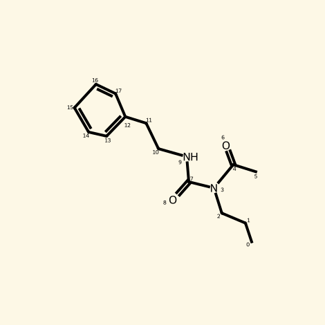 CCCN(C(C)=O)C(=O)NCCc1ccccc1